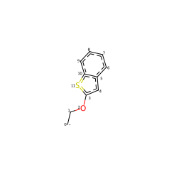 [CH2]COc1cc2ccccc2s1